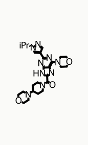 CC(C)n1cc(-c2nc(N3CCOCC3)c3nc(C(=O)N4CCC(N5CCOCC5)CC4)[nH]c3n2)cn1